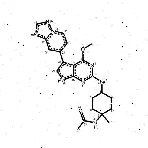 COc1nc(NC2CCC(C)(NC(C)=O)CC2)nc2[nH]cc(-c3ccn4ncnc4c3)c12